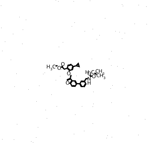 CCOC(=O)Cc1ccc(C2CC2)cc1OCc1coc2ccc(-c3cccc(CNC(=O)OC(C)(C)C)c3)cc12